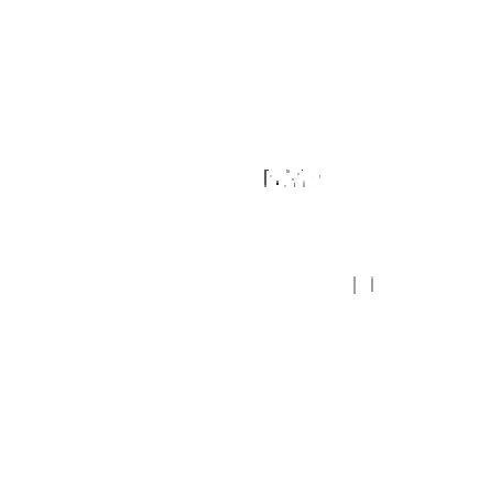 CC/C=C(\NC)C(C)(C)C